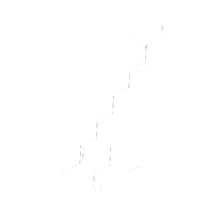 COC(=O)/C=C/C=C/C=C/c1cc(OC)c(O)c(OC)c1